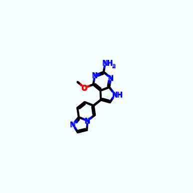 COc1nc(N)nc2[nH]cc(-c3ccc4nccn4c3)c12